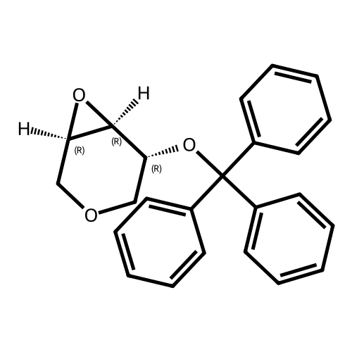 c1ccc(C(O[C@@H]2COC[C@H]3O[C@H]32)(c2ccccc2)c2ccccc2)cc1